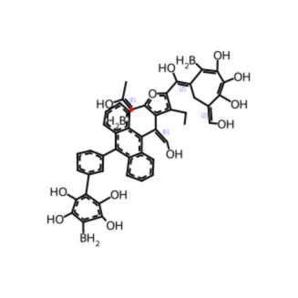 BC1=C(O)C(O)=C(O)/C(=C\O)C/C1=C(/O)c1oc(/C(B)=C(\C)O)c(/C(=C/O)c2c3ccccc3c(-c3cccc(-c4c(O)c(O)c(B)c(O)c4O)c3)c3ccccc23)c1CC